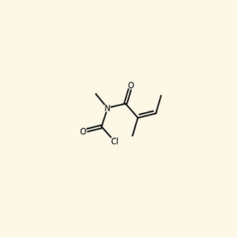 CC=C(C)C(=O)N(C)C(=O)Cl